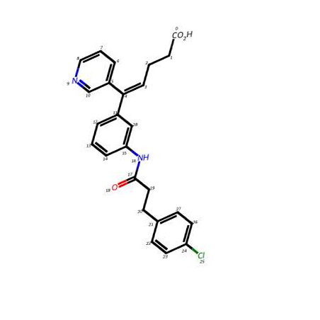 O=C(O)CC/C=C(\c1cccnc1)c1cccc(NC(=O)CCc2ccc(Cl)cc2)c1